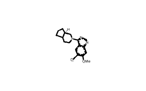 COc1cc2ncnc(N3CCC4CCC[C@H]4C3)c2cc1Cl